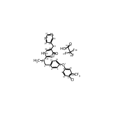 CN(Cc1ccc(Oc2ccc(Cl)c(C(F)(F)F)c2)cc1)c1nc(=O)c(Cc2cncnc2)c[nH]1.O=C(O)C(F)(F)F